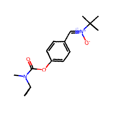 CCN(C)C(=O)Oc1ccc(/C=[N+](\[O-])C(C)(C)C)cc1